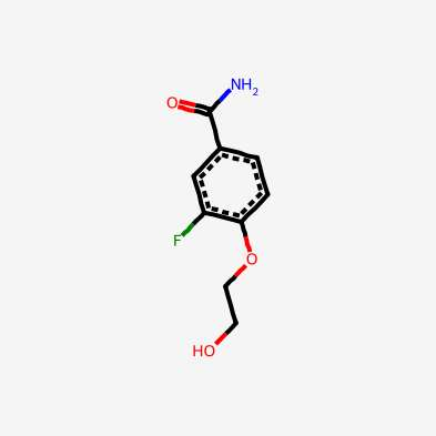 NC(=O)c1ccc(OCCO)c(F)c1